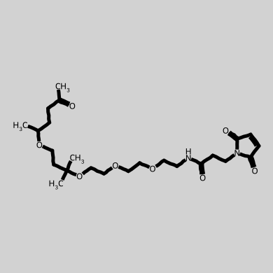 CC(=O)CCC(C)OCCC(C)(C)OCCOCCOCCNC(=O)CCN1C(=O)C=CC1=O